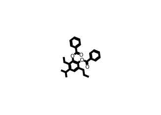 CCCc1cc(C(C)C)c(CC)c(OC(=O)c2ccccc2)c1OC(=O)c1ccccc1